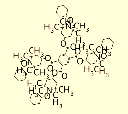 CC1(C)CC(OC(=O)c2cc(C(=O)OC3CC(C)(C)N(OC4CCCCC4)C(C)(C)C3)c(C(=O)OC3CC(C)(C)N(OC4CCCCC4)C(C)(C)C3)cc2C(=O)OC2CC(C)(C)N(OC3CCCCC3)C(C)(C)C2)CC(C)(C)N1OC1CCCCC1